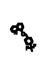 CC(F)(F)c1ccc(COc2cccc3cccnc23)cc1